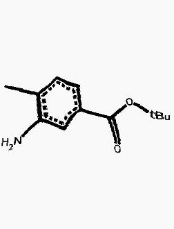 Cc1ccc(C(=O)OC(C)(C)C)cc1N